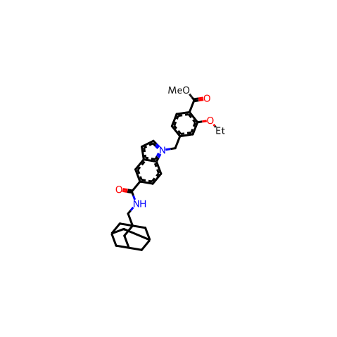 CCOc1cc(Cn2ccc3cc(C(=O)NCC45CC6CC(CC(C6)C4)C5)ccc32)ccc1C(=O)OC